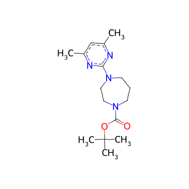 Cc1cc(C)nc(N2CCCN(C(=O)OC(C)(C)C)CC2)n1